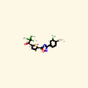 Cc1ccc(-c2noc(-c3ccc(C(=O)C(F)(F)F)s3)n2)cc1F